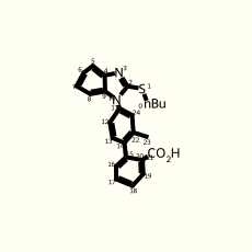 CCCCSc1nc2ccccc2n1-c1ccc(-c2ccccc2C(=O)O)c(C)c1